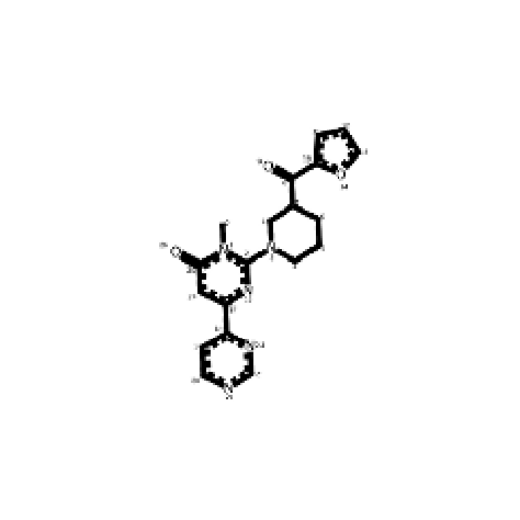 Cn1c(N2CCCC(C(=O)c3ccco3)C2)nc(-c2ccncn2)cc1=O